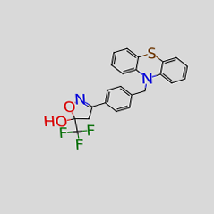 OC1(C(F)(F)F)CC(c2ccc(CN3c4ccccc4Sc4ccccc43)cc2)=NO1